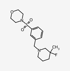 CC1(F)CCCN(Cc2cccc(S(=O)(=O)N3CCOCC3)c2)C1